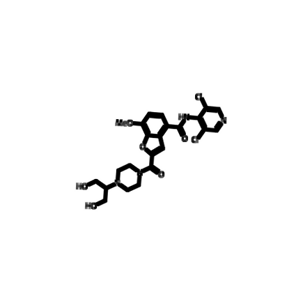 COc1ccc(C(=O)Nc2c(Cl)cncc2Cl)c2cc(C(=O)N3CCN(C(CO)CO)CC3)oc12